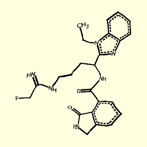 CCn1c(C(CCCNC(=N)CF)NC(=O)c2cccc3c2C(=O)NC3)nc2ccccc21